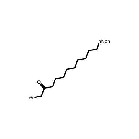 CCCCCCCCCCCCCCCCCCC(=O)CC(C)C